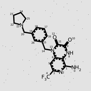 Nc1nc(C(F)(F)F)cc2c1[nH]c(=O)c(=O)n2Cc1cccc(CN2CCCC2)c1